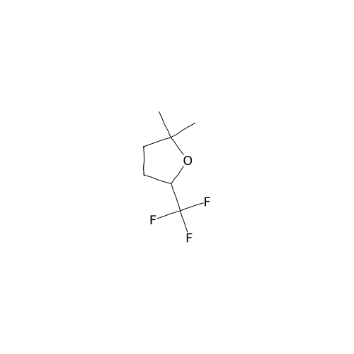 CC1(C)CCC(C(F)(F)F)O1